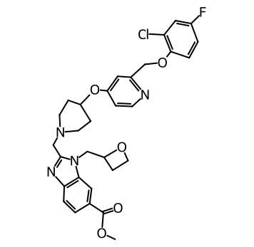 COC(=O)c1ccc2nc(CN3CCC(Oc4ccnc(COc5ccc(F)cc5Cl)c4)CC3)n(CC3CCO3)c2c1